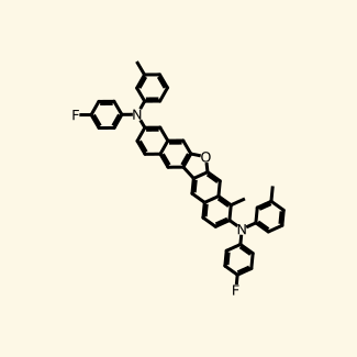 Cc1cccc(N(c2ccc(F)cc2)c2ccc3cc4c(cc3c2)oc2cc3c(C)c(N(c5ccc(F)cc5)c5cccc(C)c5)ccc3cc24)c1